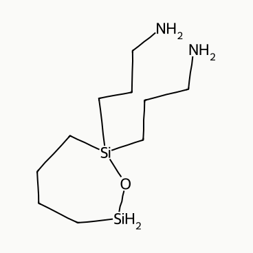 NCCC[Si]1(CCCN)CCCC[SiH2]O1